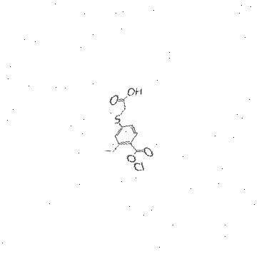 CCc1cc(SCC(=O)O)ccc1C(=O)OCl